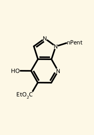 CCCCCn1ncc2c(O)c(C(=O)OCC)cnc21